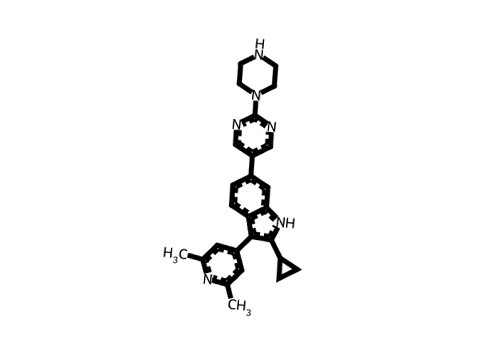 Cc1cc(-c2c(C3CC3)[nH]c3cc(-c4cnc(N5CCNCC5)nc4)ccc23)cc(C)n1